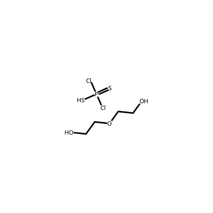 OCCOCCO.S=P(S)(Cl)Cl